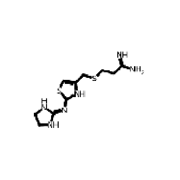 N=C(N)CCSCC1=CSC(N=C2NCCN2)N1